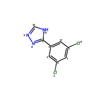 Clc1cc(Cl)cc(-c2nnc[nH]2)c1